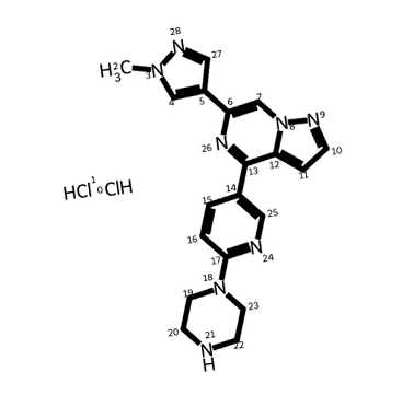 Cl.Cl.Cn1cc(-c2cn3nccc3c(-c3ccc(N4CCNCC4)nc3)n2)cn1